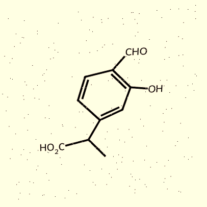 CC(C(=O)O)c1ccc(C=O)c(O)c1